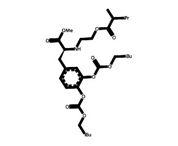 CCC(C)COC(=O)Oc1ccc(C[C@H](NCCOC(=O)C(C)C(C)C)C(=O)OC)cc1OC(=O)OCC(C)CC